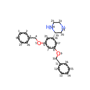 c1ccc(COc2cc(OCc3ccccc3)cc([C@H]3C[N]CCN3)c2)cc1